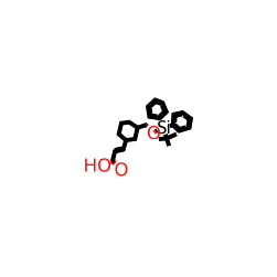 CC(C)(C)[Si](OCC1CCCC(/C=C/C(=O)O)C1)(c1ccccc1)c1ccccc1